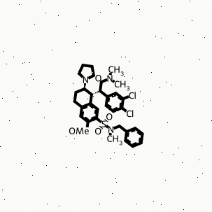 COc1cc2c(cc1S(=O)(=O)N(C)Cc1ccccc1)[C@@H](C(C(=O)N(C)C)c1ccc(Cl)c(Cl)c1)[C@H](N1CCCC1)CC2